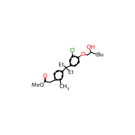 CCC(CC)(c1ccc(CC(=O)OC)c(C)c1)c1ccc(OCC(O)C(C)(C)C)c(Cl)c1